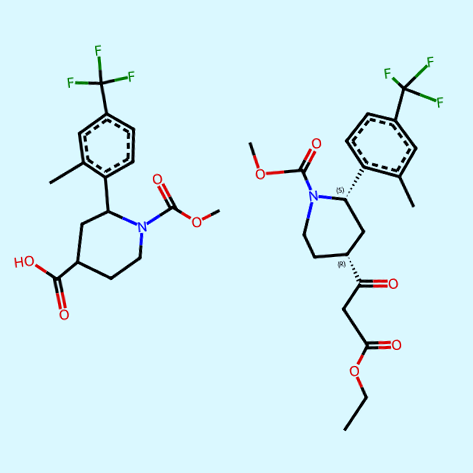 CCOC(=O)CC(=O)[C@@H]1CCN(C(=O)OC)[C@H](c2ccc(C(F)(F)F)cc2C)C1.COC(=O)N1CCC(C(=O)O)CC1c1ccc(C(F)(F)F)cc1C